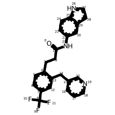 O=C(CCc1ccc(C(F)(F)F)cc1Cc1cccnc1)Nc1ccc2[nH]ccc2c1